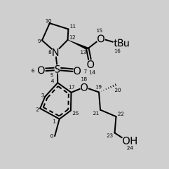 Cc1ccc(S(=O)(=O)N2CCC[C@H]2C(=O)OC(C)(C)C)c(O[C@H](C)CCCO)c1